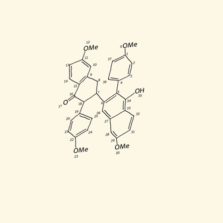 COc1ccc(-c2c(C3Cc4cc(OC)ccc4C(=O)C3c3ccc(OC)cc3)cc3cc(OC)ccc3c2O)cc1